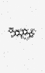 CCN(c1ccc(N2CCN=N2)c(Br)c1)c1cc(-c2c(C)noc2C)ccc1C